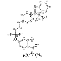 CN(C)C(=O)c1ccc(OC(F)(F)CCCC2CCN(C(=O)[C@](O)(c3ccccc3)C(F)(F)F)CC2)cc1Cl